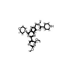 COc1ncc(-c2nc(N3CCOCC3)c3sc(CN(C)C(=O)C4CCNCC4)cc3n2)c(OC)n1